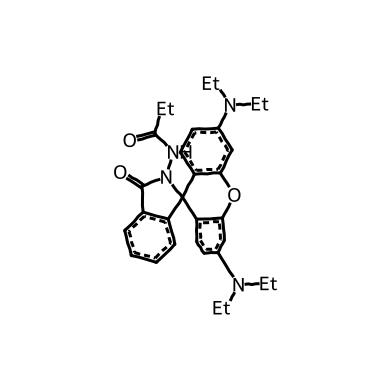 CCC(=O)NN1C(=O)c2ccccc2C12c1ccc(N(CC)CC)cc1Oc1cc(N(CC)CC)ccc12